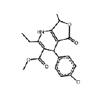 CCC1=C(C(=O)OC)C(c2ccc(Cl)cc2)C2=C(N1)C(C)OC2=O